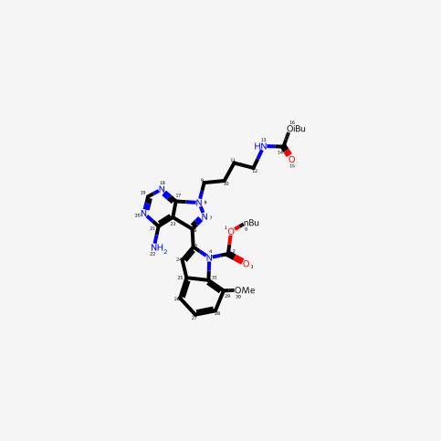 CCCCOC(=O)n1c(-c2nn(CCCCNC(=O)OCC(C)C)c3ncnc(N)c23)cc2cccc(OC)c21